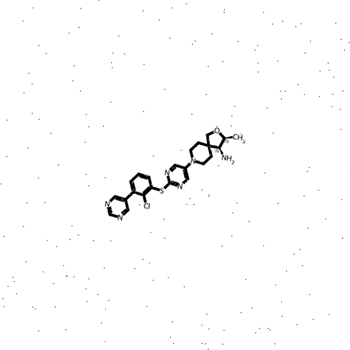 C[C@@H]1OCC2(CCN(c3cnc(Sc4cccc(-c5cncnc5)c4Cl)nc3)CC2)[C@@H]1N